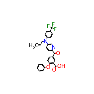 C=CCN(c1ccc(C(F)(F)F)cc1)c1ccc(C(=O)c2ccc(Oc3ccccc3)c(C(=O)O)c2)nc1